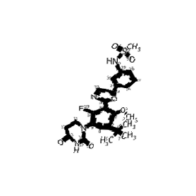 COc1c(C(C)(C)C)cc(N2CCC(=O)NC2=O)c(F)c1-c1ncc(-c2cccc(NS(C)(=O)=O)c2)o1